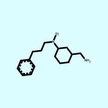 CCN(CCCc1ccccc1)[C]1CCCC(CN)C1